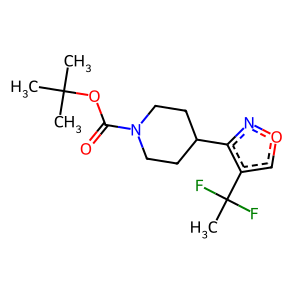 CC(C)(C)OC(=O)N1CCC(c2nocc2C(C)(F)F)CC1